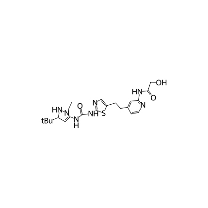 CN1NC(C(C)(C)C)C=C1NC(=O)Nc1ncc(CCc2ccnc(NC(=O)CO)c2)s1